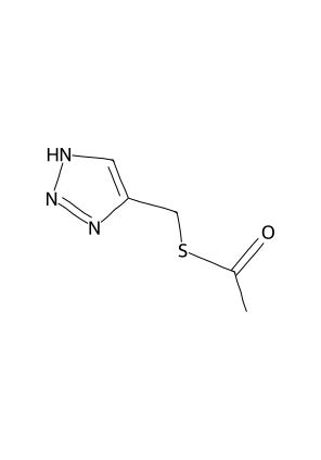 CC(=O)SCc1c[nH]nn1